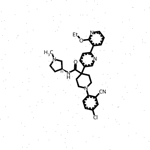 CCOc1ncccc1-c1ccc(C2(C(=O)N[C@H]3CCN(C)C3)CCN(c3ccc(Cl)cc3C#N)CC2)cn1